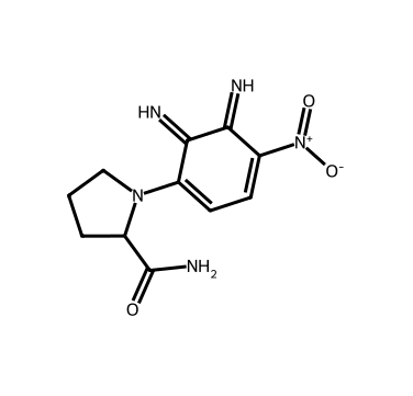 N=C1C(=N)C([N+](=O)[O-])=CC=C1N1CCCC1C(N)=O